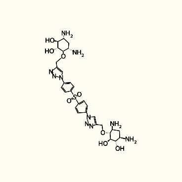 N[C@@H]1C[C@H](N)[C@@H](OCc2cn(-c3ccc(S(=O)(=O)c4ccc(-n5cc(CO[C@H]6[C@H](O)[C@@H](O)[C@H](N)C[C@@H]6N)nn5)cc4)cc3)nn2)[C@H](O)[C@H]1O